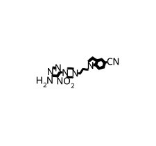 N#Cc1ccc2c(ccn2CCCN2CCN(c3ncnc(N)c3[N+](=O)[O-])CC2)c1